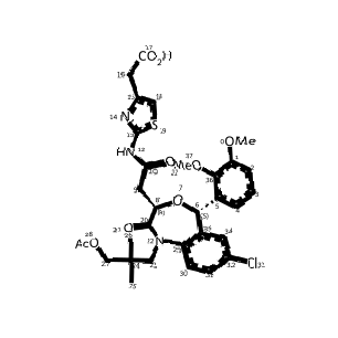 COc1cccc([C@H]2O[C@H](CC(=O)Nc3nc(CC(=O)O)cs3)C(=O)N(CC(C)(C)COC(C)=O)c3ccc(Cl)cc32)c1OC